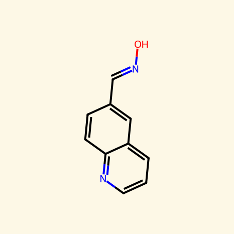 ON=Cc1ccc2ncccc2c1